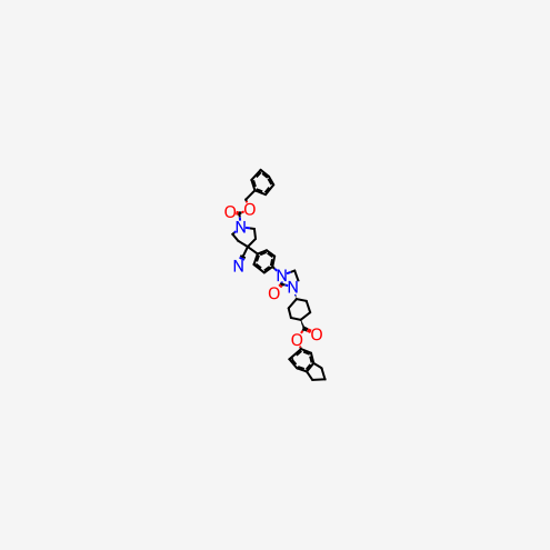 N#CC1(c2ccc(N3CCN([C@H]4CC[C@H](C(=O)Oc5ccc6c(c5)CCC6)CC4)C3=O)cc2)CCN(C(=O)OCc2ccccc2)CC1